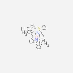 CC(C)(C)c1cc2c3c(c1)-n1c4sc5ccccc5c4c4cccc(c41)B3n1c3c(c4cccc-2c41)-c1ccccc1C3(C)C